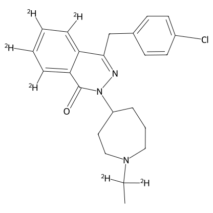 [2H]c1c([2H])c([2H])c2c(=O)n(C3CCCN(C([2H])([2H])C)CC3)nc(Cc3ccc(Cl)cc3)c2c1[2H]